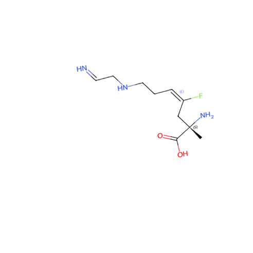 C[C@](N)(C/C(F)=C\CCNCC=N)C(=O)O